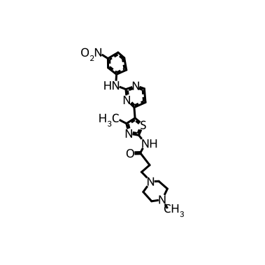 Cc1nc(NC(=O)CCN2CCN(C)CC2)sc1-c1ccnc(Nc2cccc([N+](=O)[O-])c2)n1